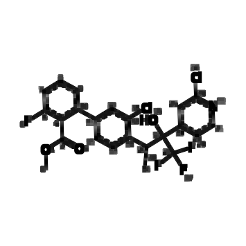 COC(=O)c1c(F)cccc1-c1ccc(C(C)C(O)(c2ccnc(Cl)c2)C(F)(F)F)c(Cl)c1